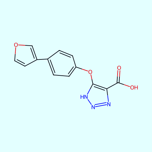 O=C(O)c1nn[nH]c1Oc1ccc(-c2ccoc2)cc1